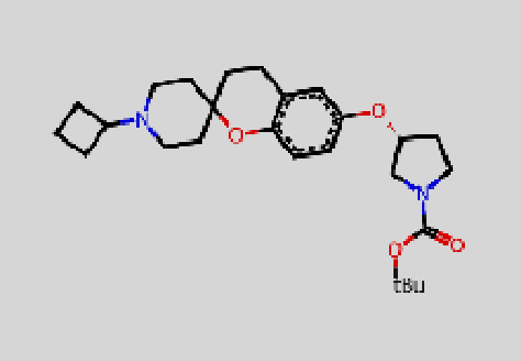 CC(C)(C)OC(=O)N1CC[C@@H](Oc2ccc3c(c2)CCC2(CCN(C4CCC4)CC2)O3)C1